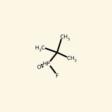 CC(C)(C)[PH](=O)F